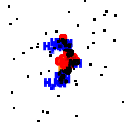 Nc1nc2c(ncn2[C@H]2C[C@H](OS(=O)(=O)NC[C@@H]3CC[C@H](n4cnc5c(N)ncnc54)O3)[C@@H](CO[PH](=O)O)O2)c(=O)[nH]1